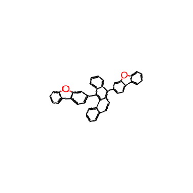 c1ccc2c(c1)ccc1c(-c3ccc4c(c3)oc3ccccc34)c3ccccc3c(-c3ccc4c(c3)oc3ccccc34)c12